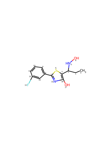 CCC(NO)c1sc(-c2cccc(F)c2)nc1O